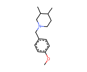 COc1ccc(CN2CCC(C)C(C)C2)cc1